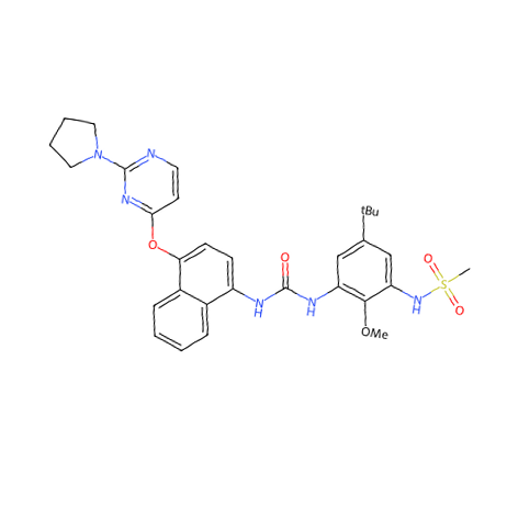 COc1c(NC(=O)Nc2ccc(Oc3ccnc(N4CCCC4)n3)c3ccccc23)cc(C(C)(C)C)cc1NS(C)(=O)=O